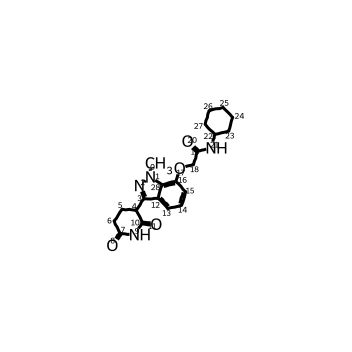 Cn1nc(C2CCC(=O)NC2=O)c2cccc(OCC(=O)NC3CCCCC3)c21